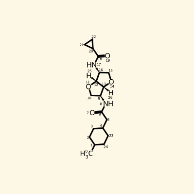 CC1CCC(CC(=O)N[C@H]2CO[C@H]3[C@@H]2OC[C@@H]3NC(=O)C2CC2)CC1